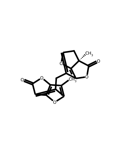 Cc1c2c3oc1c(Cc1c4oc5c1OC(=O)[C@]5(C)C4)c3C(=O)O2